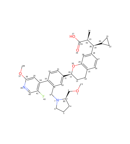 COC[C@H]1CCCN1Cc1cc([C@@H]2CCc3ccc([C@H](C4CC4)[C@H](C)C(=O)O)cc3O2)ccc1-c1cc(OC)ncc1F